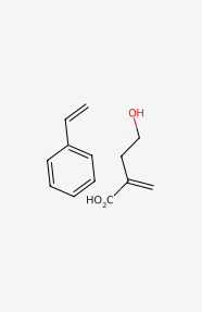 C=C(CCO)C(=O)O.C=Cc1ccccc1